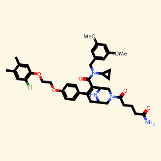 COc1cc(CN(C(=O)C2=C(c3ccc(OCCOc4cc(C)c(C)cc4Cl)cc3)CC3CN(C(=O)CCCC(N)=O)CC2N3)C2CC2)cc(OC)c1